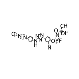 C#C[C@H](O)C(=O)N1CC(Oc2ccc(-c3ncnc(Nc4ccc(N5CCN(C6COC6)CC5)cc4)n3)cc2C#N)C(F)(F)C1